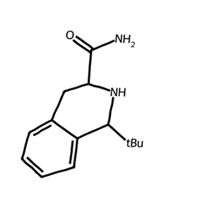 CC(C)(C)C1NC(C(N)=O)Cc2ccccc21